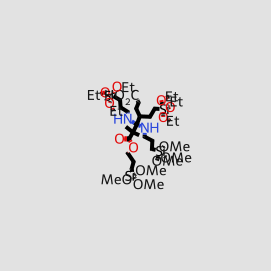 CCO[Si](CCCNC(NCCC[Si](OC)(OC)OC)(C(CCC(=O)O)CC[Si](OCC)(OCC)OCC)C(C)(C)C(=O)OCCC[Si](OC)(OC)OC)(OCC)OCC